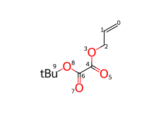 C=CCOC(=O)C(=O)OC(C)(C)C